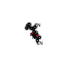 N#Cc1ccc2c(c1)c1ccccc1n2-c1cnc2c(c1)C1(c3ccccc3Oc3cc(-n4c5ccc(C#N)cc5c5cc(N6c7ccccc7Sc7ccccc76)ccc54)ccc31)c1cccnc1-2